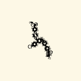 CCOC(=O)c1ccc(N2CCN(CC3=C(c4ccc(Cl)cc4)CC[C@@](C)(CN4CCC(C5CCN(C(=O)OC(C)(C)C)CC5)CC4)C3)CC2)cc1